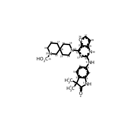 CC1(C)C(=O)Nc2cc(Nc3nc(N4CCC5(CCCN(C(=O)O)C5)CC4)c4occc4n3)ccc21